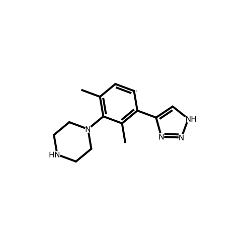 Cc1c[c]c(-c2c[nH]nn2)c(C)c1N1CCNCC1